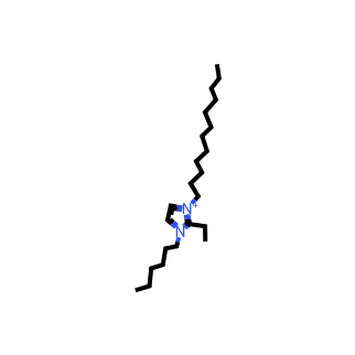 CCCCCCCCCCCC[n+]1ccn(CCCCCC)c1CC